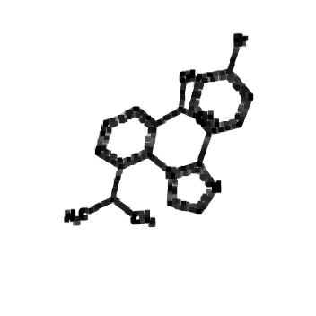 CC(C)c1cccc(C(C)C)c1-n1ccnc1-c1ccc(Br)cc1